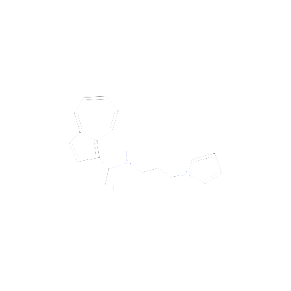 CC(NCCCn1cccc1)c1ccc2cccccc1-2